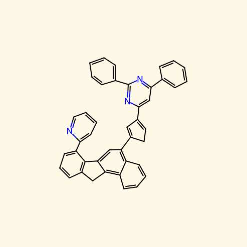 C1=C(c2cc(-c3ccccc3)nc(-c3ccccc3)n2)C=C(c2cc3c(c4ccccc24)Cc2cccc(-c4ccccn4)c2-3)C1